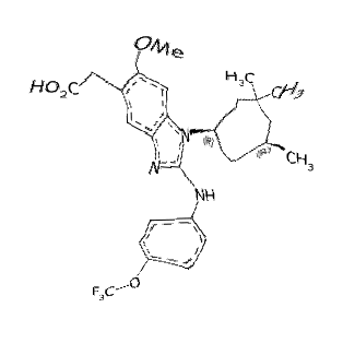 COc1cc2c(cc1CC(=O)O)nc(Nc1ccc(OC(F)(F)F)cc1)n2[C@@H]1C[C@H](C)CC(C)(C)C1